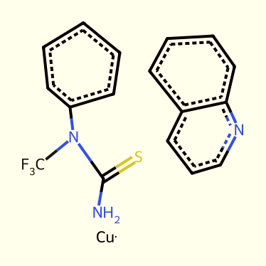 NC(=S)N(c1ccccc1)C(F)(F)F.[Cu].c1ccc2ncccc2c1